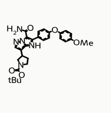 COc1ccc(Oc2ccc(-c3[nH]c4c(C5CCN(C(=O)OC(C)(C)C)C5)cnn4c3C(N)=O)cc2)cc1